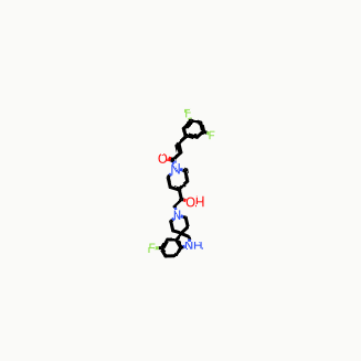 O=C(/C=C/c1cc(F)cc(F)c1)N1CCC(C(O)CN2CCC3(CC2)CNC2=C3C=C(F)CC2)CC1